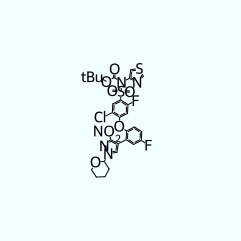 CC(C)(C)OC(=O)N(c1cscn1)S(=O)(=O)c1cc(Cl)c(Oc2ccc(F)cc2-c2cn(C3CCCCO3)nc2[N+](=O)[O-])cc1F